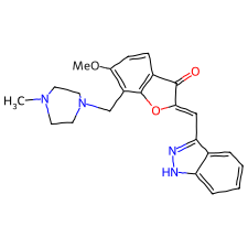 COc1ccc2c(c1CN1CCN(C)CC1)OC(=Cc1n[nH]c3ccccc13)C2=O